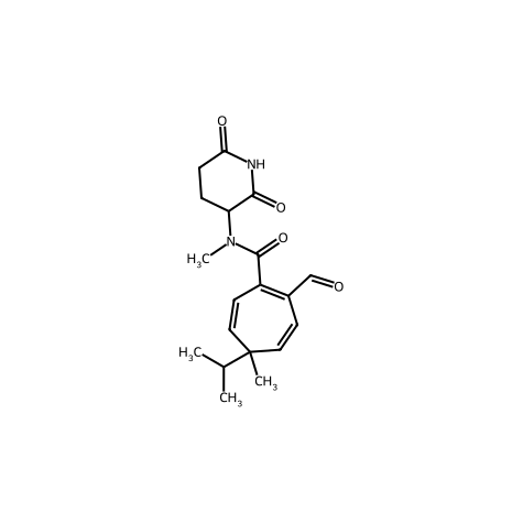 CC(C)C1(C)C=CC(C=O)=C(C(=O)N(C)C2CCC(=O)NC2=O)C=C1